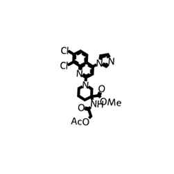 COC(=O)C1(NC(=O)COC(C)=O)CCCN(c2cc(-n3ccnc3)c3ccc(Cl)c(Cl)c3n2)C1